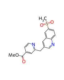 COC(=O)c1ccnc(Cc2cnc3ccc(S(C)(=O)=O)cc3c2)c1